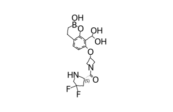 O=C([C@@H]1CC(F)(F)CN1)N1CC(Oc2ccc3c(c2C(O)O)OB(O)CC3)C1